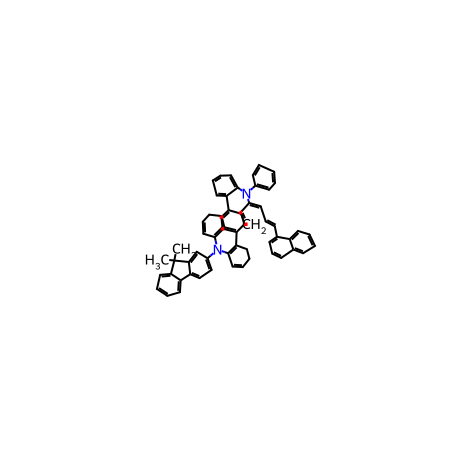 C=C/C(=C\C=C\c1cccc2ccccc12)N(c1ccccc1)c1ccccc1C1=CC=C(C2=C(N(C3=CCCC=C3)c3ccc4c(c3)C(C)(C)c3ccccc3-4)C=CCC2)CC1